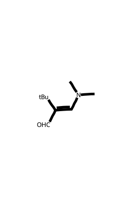 CN(C)/C=C(/C=O)C(C)(C)C